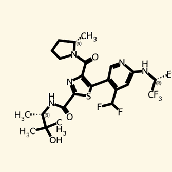 CC[C@@H](Nc1cc(C(F)F)c(-c2sc(C(=O)N[C@@H](C)C(C)(C)O)nc2C(=O)N2CCC[C@@H]2C)cn1)C(F)(F)F